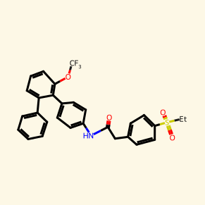 CCS(=O)(=O)c1ccc(CC(=O)Nc2ccc(-c3c(OC(F)(F)F)cccc3-c3ccccc3)cc2)cc1